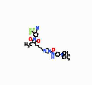 CC1=C(CCCCCN2CCN(C(=O)Nc3ccc(N(C)C)cc3)CC2)C(=O)N(c2ccc(C#N)c(C(F)(F)F)c2)C1=O